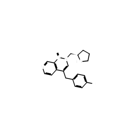 O=[n+]1c2cnccc2c(Cc2ccc(Cl)cc2)cn1C[C@H]1CCCN1